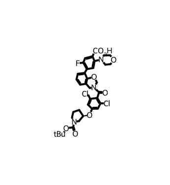 CC(C)(C)OC(=O)N1CCC[C@@H](Oc2cc(Cl)c(C(=O)N3COc4c(cccc4-c4cc(N5CCOCC5)c(C(=O)O)cc4F)C3)c(Cl)c2)C1